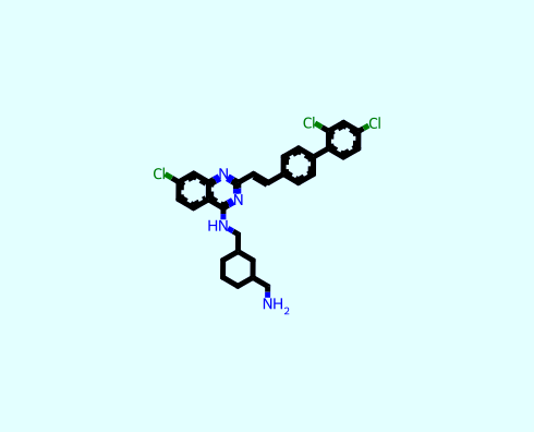 NCC1CCCC(CNc2nc(C=Cc3ccc(-c4ccc(Cl)cc4Cl)cc3)nc3cc(Cl)ccc23)C1